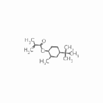 C=C(C)C(=O)OC1CCC(C(C)(C)C)CC1C